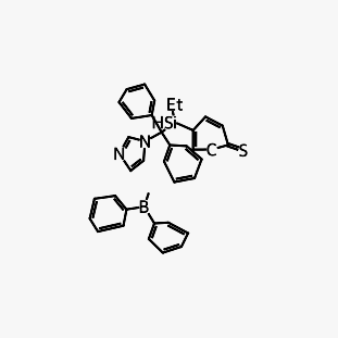 CB(c1ccccc1)c1ccccc1.CC[SiH](C1=CCC(=S)C=C1)C(c1ccccc1)(c1ccccc1)n1ccnc1